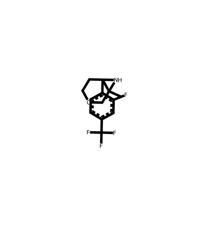 CC12COCCC1(c1ccc(C(F)(F)F)cc1F)N2